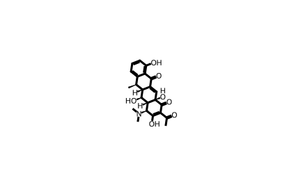 CC(=O)C1=C(O)[C@@H](N(C)C)[C@@H]2[C@@H](O)[C@H]3C(=C[C@]2(O)C1=O)C(=O)c1c(O)cccc1[C@@H]3C